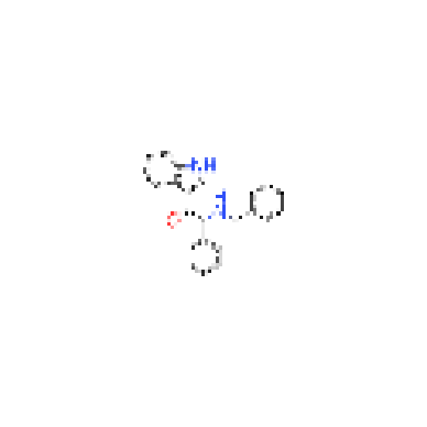 O=C(c1c[nH]c2ccccc12)C(NCc1ccccc1)c1ccccc1